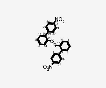 O=[N+]([O-])c1ccc(-c2ccccc2SSc2ccccc2-c2ccc([N+](=O)[O-])cc2)cc1